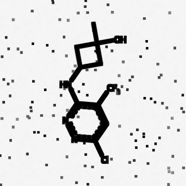 CC1(O)CC(Nc2nnc(Cl)cc2C(F)(F)F)C1